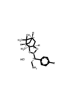 CC1(C)[C@@H]2C[C@H]3OB([C@@H](CN)c4ccc(F)cc4)O[C@@]3(C)[C@H]1C2.Cl